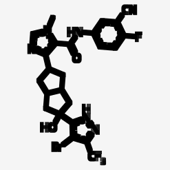 Cn1cnc(C2CC3CC(O)(c4[nH]nc(C(F)(F)F)c4Br)CC3C2)c1C(=O)Nc1ccc(F)c(C#N)c1